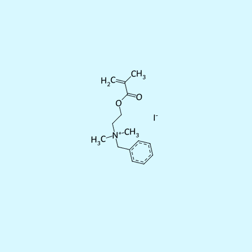 C=C(C)C(=O)OCC[N+](C)(C)Cc1ccccc1.[I-]